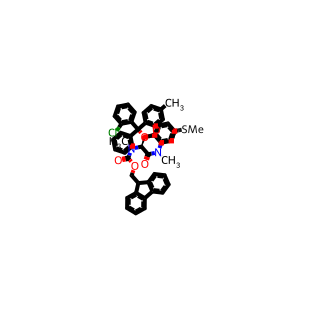 CSCC[C@@H](C(=O)OC(c1ccccc1)(c1ccc(C)cc1)c1ccccc1Cl)N(C)C(=O)[C@H](Cc1ccccc1)N(C)C(=O)OCC1c2ccccc2-c2ccccc21